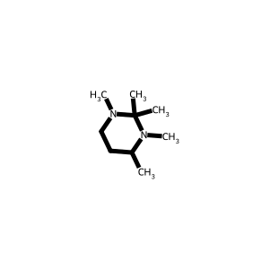 CC1CCN(C)C(C)(C)N1C